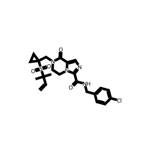 C=CC(C)(C)S(=O)(=O)C1(CN2CCn3c(cnc3C(=O)NCc3ccc(Cl)cc3)C2=O)CC1